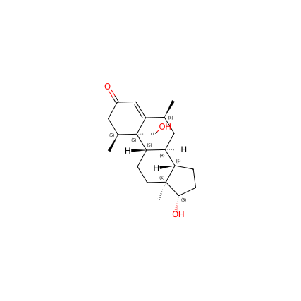 C[C@H]1C[C@H]2[C@@H]3CC[C@H](O)[C@@]3(C)CC[C@@H]2[C@]2(CO)C1=CC(=O)C[C@@H]2C